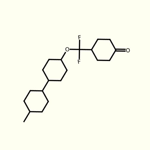 CC1CCC(C2CCC(OC(F)(F)C3CCC(=O)CC3)CC2)CC1